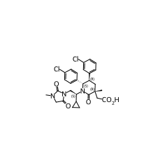 CN1CC(=O)N(C[C@H](C2CC2)N2C(=O)[C@@](C)(CC(=O)O)C[C@H](c3cccc(Cl)c3)[C@H]2c2ccc(Cl)cc2)C1=O